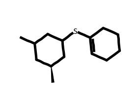 CC1CC(SC2=CCCCC2)C[C@@H](C)C1